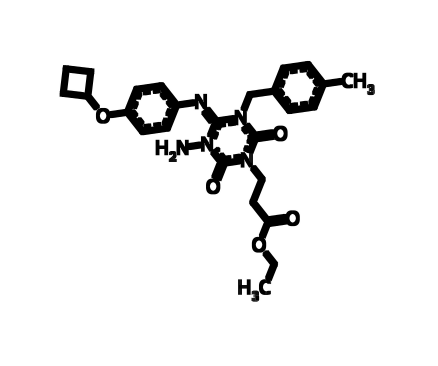 CCOC(=O)CCn1c(=O)n(N)/c(=N\c2ccc(OC3CCC3)cc2)n(Cc2ccc(C)cc2)c1=O